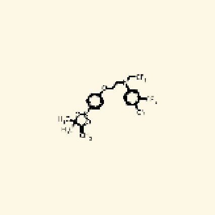 C=C1OB(c2ccc(OCCN(CC(F)(F)F)c3ccc(C#N)c(C(F)(F)F)c3)cc2)OC1(C)C